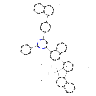 CC1(C)c2ccc3ccccc3c2-c2cccc(-c3ccc(-c4cc(-c5ccc(-c6cccc7ccccc67)cc5)nc(-c5ccccc5)n4)c4ccccc34)c21